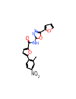 Cc1cc([N+](=O)[O-])ccc1-c1ccc(C(=O)Nc2nnc(-c3ccco3)o2)o1